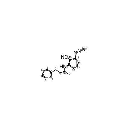 C[C@@H](CCc1ccccc1)Nc1ccnc(N=[N+]=[N-])c1C#N